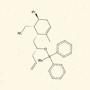 C=CC[C@H](C[C@H]1C(C)=CC[C@H](C(C)C)[C@H]1CC#N)O[Si](c1ccccc1)(c1ccccc1)C(C)(C)C